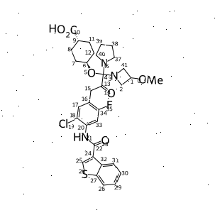 COC1CN(C(O[C@H]2CC[C@H](C(=O)O)CC2)(C(=O)Cc2cc(Cl)c(NC(=O)c3csc4ccccc34)cc2F)N2CCCC2)C1